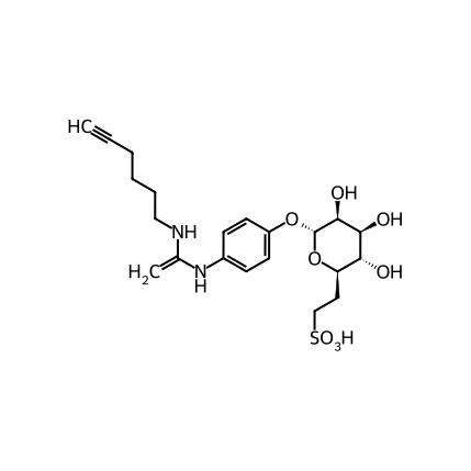 C#CCCCCNC(=C)Nc1ccc(O[C@H]2O[C@H](CCS(=O)(=O)O)[C@@H](O)[C@H](O)[C@@H]2O)cc1